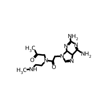 CNCCN(CC(C)=O)C(=O)CN1C=NC2C(N)=NC(N)=NC21